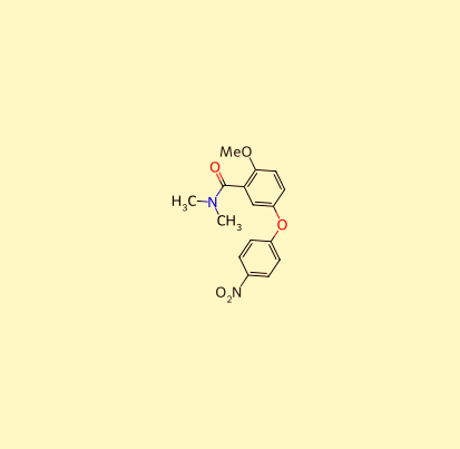 COc1ccc(Oc2ccc([N+](=O)[O-])cc2)cc1C(=O)N(C)C